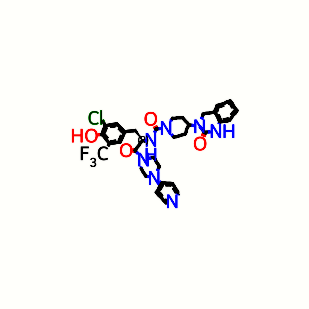 O=C(N[C@H](Cc1cc(Cl)c(O)c(C(F)(F)F)c1)C(=O)N1CCN(c2ccncc2)CC1)N1CCC(N2Cc3ccccc3NC2=O)CC1